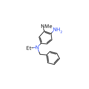 CCN(Cc1ccccc1)c1ccc(N)c(NC)c1